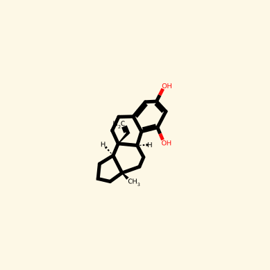 C=C[C@@]12CCc3cc(O)cc(O)c3[C@H]1CC[C@]1(C)CCC[C@H]12